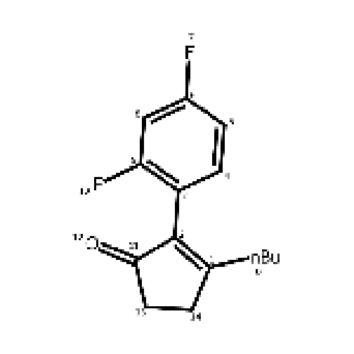 CCCCC1=C(c2ccc(F)cc2F)C(=O)CC1